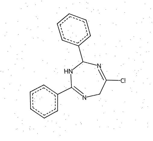 ClC1=NC(c2ccccc2)NC(c2ccccc2)=NC1